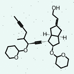 CC#CCC(C)[C@@H](C#C[C@@H]1[C@H]2C/C(=C\CO)C[C@H]2C[C@H]1OC1CCCCO1)OC1CCCCO1